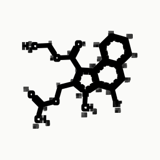 CCOC(=O)c1c(COC(C)=O)n(C)c2c(Br)cc3ccccc3c12